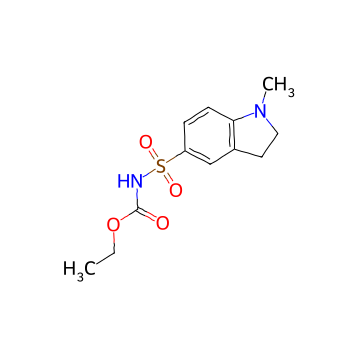 CCOC(=O)NS(=O)(=O)c1ccc2c(c1)CCN2C